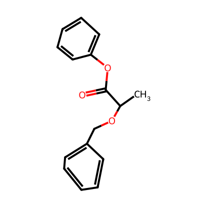 CC(OCc1ccccc1)C(=O)Oc1ccccc1